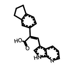 O=C(O)C(=Cc1c[nH]c2ncccc12)c1ccc2c(c1)CCC2